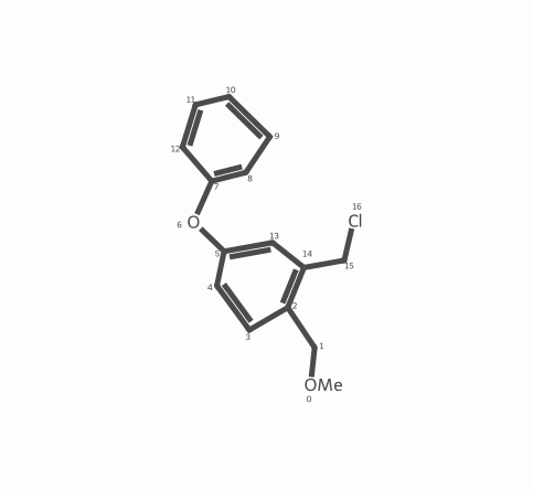 COCc1ccc(Oc2ccccc2)cc1CCl